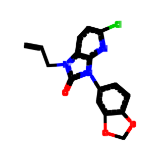 C=CCn1c(=O)n(-c2ccc3c(c2)OCO3)c2nc(Cl)ccc21